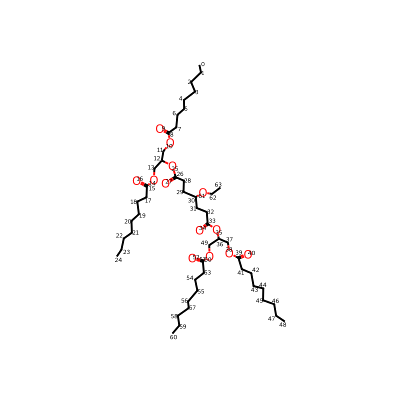 CCCCCCCCC(=O)OCC(COC(=O)CCCCCCCC)OC(=O)CCC(CCC(=O)OC(COC(=O)CCCCCCCC)COC(=O)CCCCCCCC)OCC